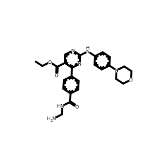 CCOC(=O)c1cnc(Nc2ccc(N3CCOCC3)cc2)nc1-c1ccc(C(=O)NCN)cc1